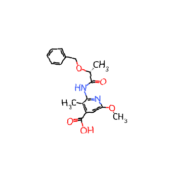 COc1cc(C(=O)O)c(C)c(NC(=O)[C@@H](C)OCc2ccccc2)n1